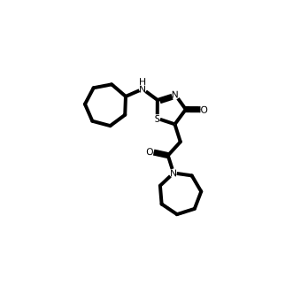 O=C1N=C(NC2CCCCCC2)SC1CC(=O)N1CCCCCC1